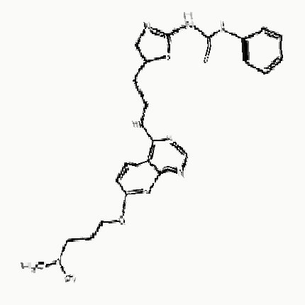 CN(C)CCCOc1ccc2c(NCCC3CN=C(NC(=O)Nc4ccccc4)S3)ncnc2n1